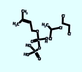 CC(C)=CCOP(=O)(O)OP(=O)(O)O.CC(Cl)Cl.ClCCCl